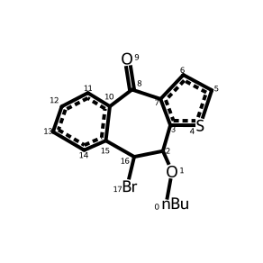 CCCCOC1c2sccc2C(=O)c2ccccc2C1Br